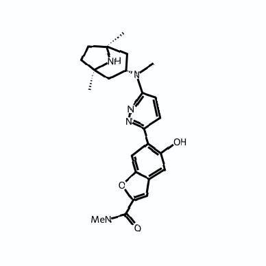 CNC(=O)c1cc2cc(O)c(-c3ccc(N(C)[C@H]4C[C@]5(C)CC[C@](C)(C4)N5)nn3)cc2o1